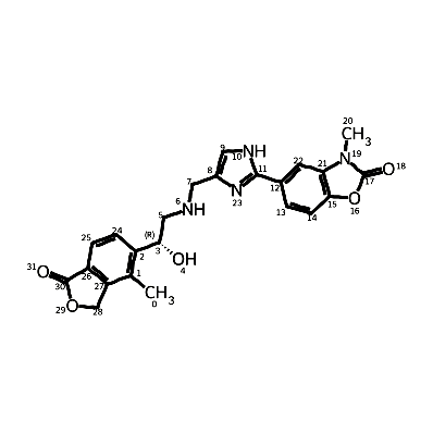 Cc1c([C@@H](O)CNCc2c[nH]c(-c3ccc4oc(=O)n(C)c4c3)n2)ccc2c1COC2=O